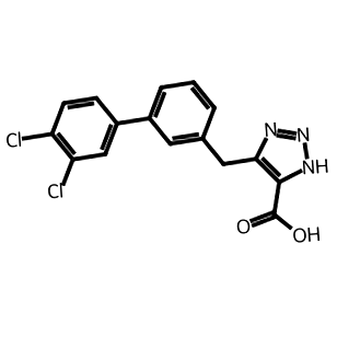 O=C(O)c1[nH]nnc1Cc1cccc(-c2ccc(Cl)c(Cl)c2)c1